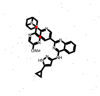 COc1cnc(CN2C3CC2CN(c2ccc(-c4nc(Nc5cc(C6CC6)[nH]n5)c5ccccc5n4)cn2)C3)cn1